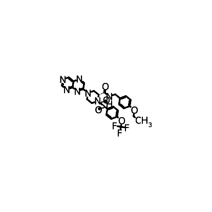 CCOc1ccc(CNC(=O)[C@H]2CN(c3cnc4cncnc4n3)CCN2S(=O)(=O)c2ccc(OC(F)(F)F)cc2)cc1